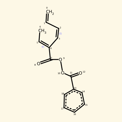 C=C/C=C\C(=C/C)C(=O)OOC(=O)c1ccccc1